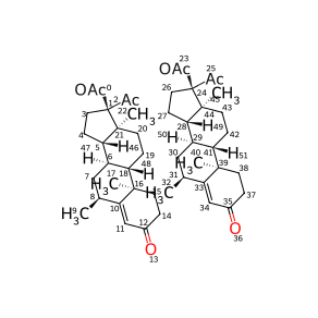 CC(=O)O[C@]1(C(C)=O)CC[C@H]2[C@@H]3C[C@H](C)C4=CC(=O)CC[C@]4(C)[C@H]3CC[C@@]21C.CC(=O)O[C@]1(C(C)=O)CC[C@H]2[C@@H]3C[C@H](C)C4=CC(=O)CC[C@]4(C)[C@H]3CC[C@@]21C